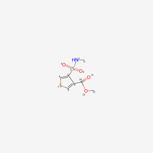 CNS(=O)(=O)c1cscc1C(=O)OC